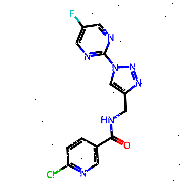 O=C(NCc1cn(-c2ncc(F)cn2)nn1)c1ccc(Cl)nc1